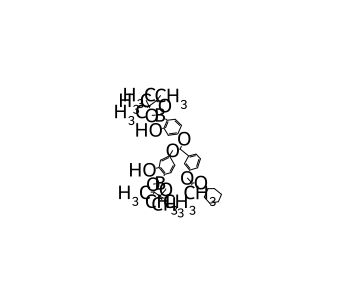 CC(Oc1cccc(C(Oc2ccc(B3OC(C)(C)C(C)(C)O3)c(O)c2)Oc2ccc(B3OC(C)(C)C(C)(C)O3)c(O)c2)c1)OC1CCCCC1